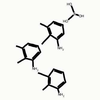 Cc1cccc(N)c1C.Cc1cccc(N)c1C.Cc1cccc(N)c1C.OB(O)O